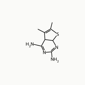 CC1=C(C)C2C(N)=NC(N)=NC2S1